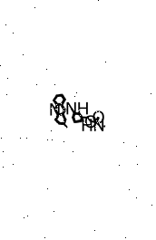 CNC(=O)OCc1cccc(Nc2c3ccccc3nc3ccc(C)cc23)c1